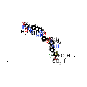 C=C1N(C)c2cc(CC3CCN(C(=O)Nc4cccc(CS(=O)(=O)N5CC[C@H](Nc6cccc(-c7sc(C(=O)O)c(OCC(=O)O)c7Cl)c6)CC5(C)C)c4)CC3)ccc2N1C1CCC(=O)NC1=O